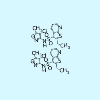 CCc1sc2ncccc2c1S(=O)(=O)Nc1noc(C)c1Cl.CCc1sc2ncccc2c1S(=O)(=O)Nc1noc(C)c1Cl